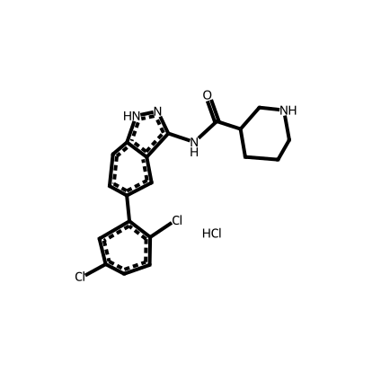 Cl.O=C(Nc1n[nH]c2ccc(-c3cc(Cl)ccc3Cl)cc12)C1CCCNC1